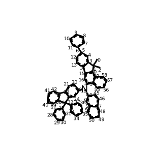 CC1(C)c2cc(-c3ccccc3)ccc2-c2cc(N(c3ccc4c(c3)C(c3ccccc3)(c3ccccc3)c3ccccc3-4)c3ccc4ccccc4c3)c3ccccc3c21